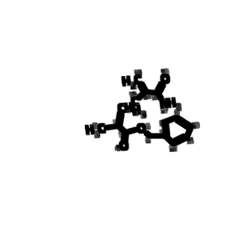 C=C(C)C(=O)OCc1ccccc1.C=C(C)C(N)=O